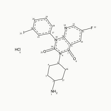 Cl.NC1CCC(n2c(=O)c3cc(F)cnc3n(-c3cccc(I)c3)c2=O)CC1